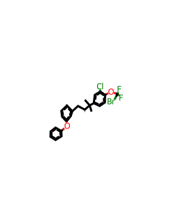 CC(C)([CH]Cc1cccc(Oc2ccccc2)c1)c1ccc(OC(F)(F)Br)c(Cl)c1